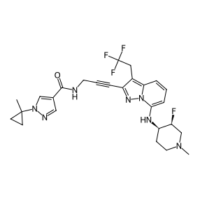 CN1CC[C@@H](Nc2cccc3c(CC(F)(F)F)c(C#CCNC(=O)c4cnn(C5(C)CC5)c4)nn23)[C@@H](F)C1